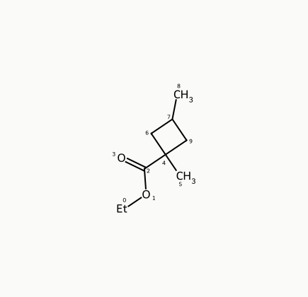 CCOC(=O)C1(C)CC(C)C1